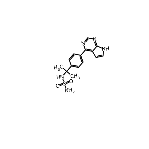 CC(C)(NS(N)(=O)=O)c1ccc(-c2ncnc3[nH]ccc23)cc1